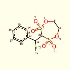 O=S1(=O)OCCOS(=O)(=O)C1C(F)c1ccccc1